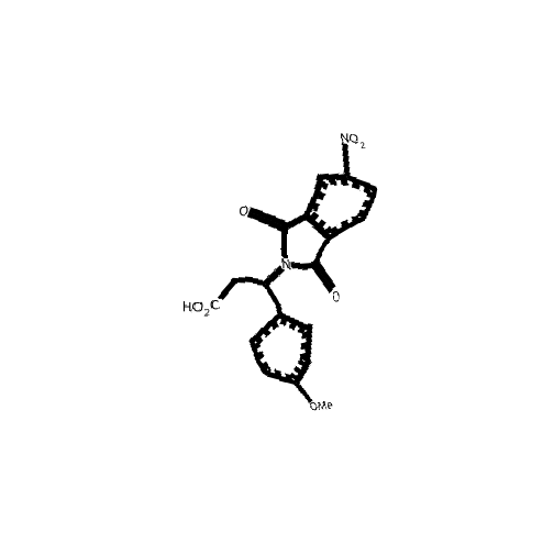 COc1ccc(C(CC(=O)O)N2C(=O)c3ccc([N+](=O)[O-])cc3C2=O)cc1